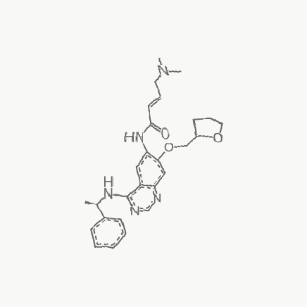 C[C@@H](Nc1ncnc2cc(OCC3CCCO3)c(NC(=O)C=CCN(C)C)cc12)c1ccccc1